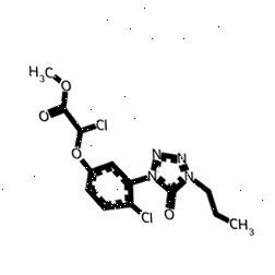 CCCn1nnn(-c2cc(OC(Cl)C(=O)OC)ccc2Cl)c1=O